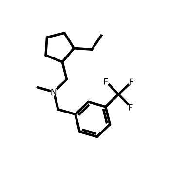 CCC1CCCC1CN(C)Cc1cccc(C(F)(F)F)c1